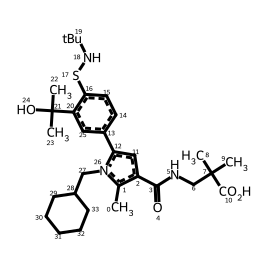 Cc1c(C(=O)NCC(C)(C)C(=O)O)cc(-c2ccc(SNC(C)(C)C)c(C(C)(C)O)c2)n1CC1CCCCC1